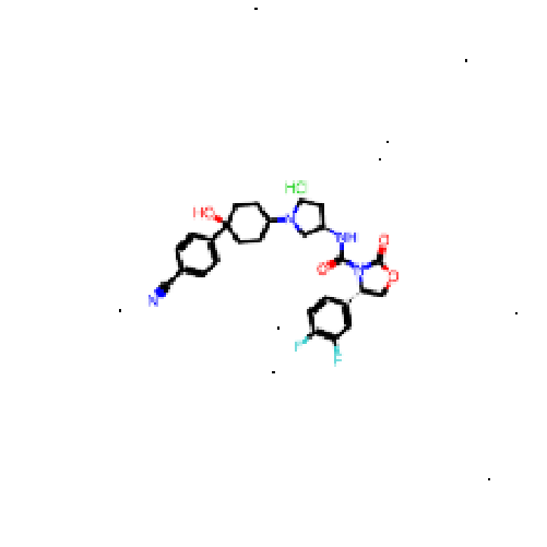 Cl.N#Cc1ccc(C2(O)CCC(N3CC[C@@H](NC(=O)N4C(=O)OC[C@@H]4c4ccc(F)c(F)c4)C3)CC2)cc1